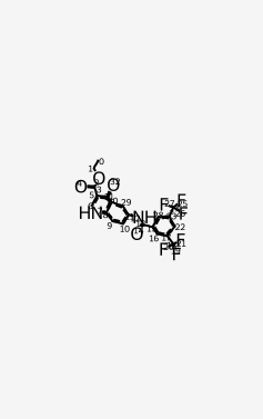 CCOC(=O)c1c[nH]c2ccc(NC(=O)c3cc(C(F)(F)F)cc(C(F)(F)F)c3)cc2c1=O